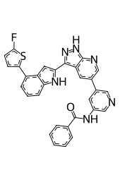 O=C(Nc1cncc(-c2cnc3[nH]nc(-c4cc5c(-c6ccc(F)s6)cccc5[nH]4)c3c2)c1)c1ccccc1